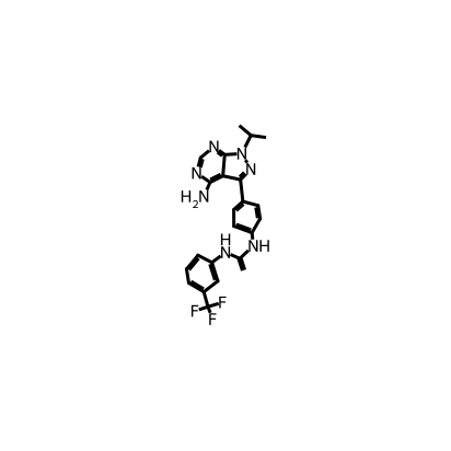 C=C(Nc1ccc(-c2nn(C(C)C)c3ncnc(N)c23)cc1)Nc1cccc(C(F)(F)F)c1